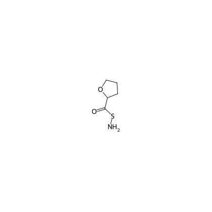 NSC(=O)C1CCCO1